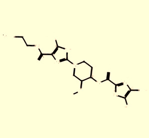 CCOC1CN(c2nc(C(=O)NCCOC)c(C(=O)O)s2)CCC1NC(=O)c1nc(Cl)c(CC)[nH]1